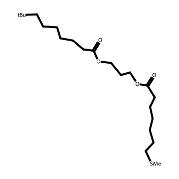 CSCCCCCCC(=O)OCCCOC(=O)CCCCCCC(C)(C)C